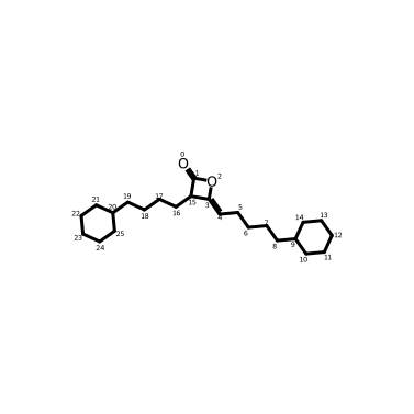 O=C1OC(=CCCCCC2CCCCC2)C1CCCCC1CCCCC1